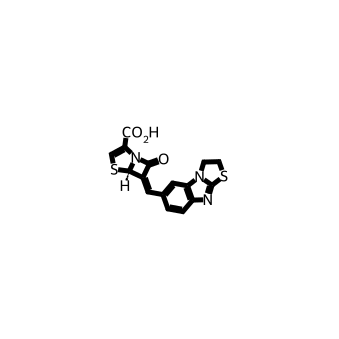 O=C(O)C1=CS[C@@H]2C(=Cc3ccc4nc5n(c4c3)CCS5)C(=O)N12